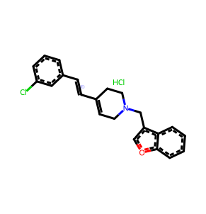 Cl.Clc1cccc(/C=C/C2=CCN(Cc3coc4ccccc34)CC2)c1